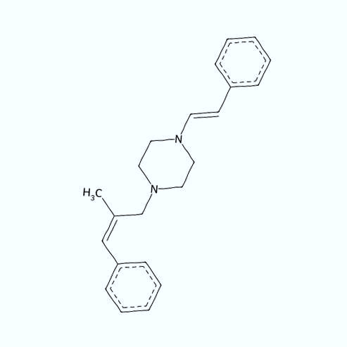 CC(=Cc1ccccc1)CN1CCN(C=Cc2ccccc2)CC1